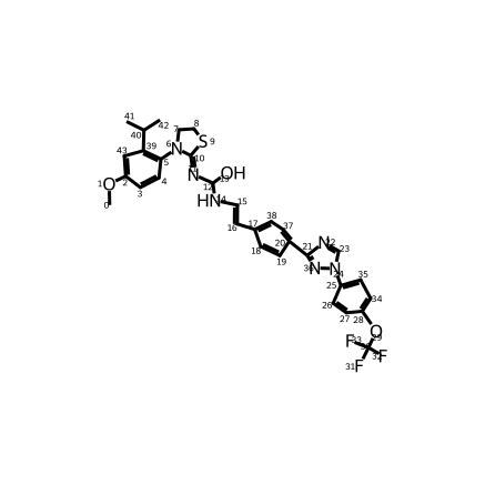 COc1ccc(N2CCS/C2=N\C(O)N/C=C/c2ccc(-c3ncn(-c4ccc(OC(F)(F)F)cc4)n3)cc2)c(C(C)C)c1